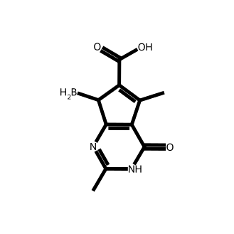 BC1C(C(=O)O)=C(C)c2c1nc(C)[nH]c2=O